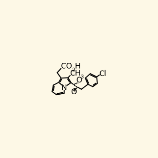 Cc1c(CC(=O)O)c2ccccn2c1S(=O)(=O)Cc1ccc(Cl)cc1